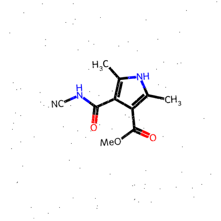 COC(=O)c1c(C)[nH]c(C)c1C(=O)NC#N